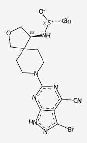 CC(C)(C)[S@@+]([O-])N[C@@H]1COCC12CCN(c1nc(C#N)c3c(Br)n[nH]c3n1)CC2